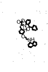 COC(=O)[C@H](Cc1ccc(OCCNc2cccc3ccccc23)cc1)Nc1ccccc1C(=O)c1ccccc1